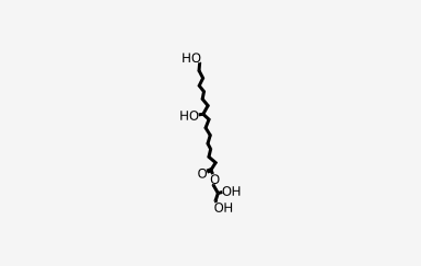 O=C(CCCCCCCC(O)CCCCCCCO)OCC(O)CO